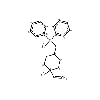 C=CC1(C(C)=O)CCC(O[Si](c2ccccc2)(c2ccccc2)C(C)(C)C)CC1